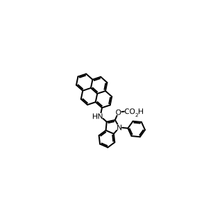 O=C(O)Oc1c(Nc2ccc3ccc4cccc5ccc2c3c45)c2ccccc2n1-c1ccccc1